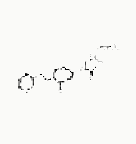 CC(=O)NC[C@H]1CN(c2ccc(C=Cc3cccnc3)c(F)c2)C(=O)O1